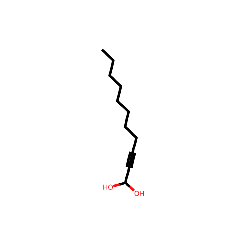 CCCCCCCCC#CC(O)O